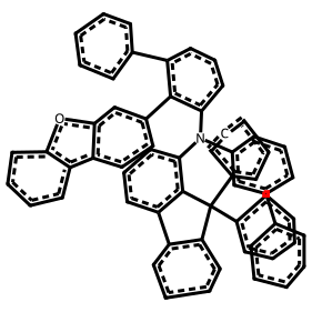 c1ccc(-c2cccc(N(c3cccc(-c4ccccc4)c3-c3ccc4c(c3)oc3ccccc34)c3cccc4c3C(c3ccccc3)(c3ccccc3)c3ccccc3-4)c2)cc1